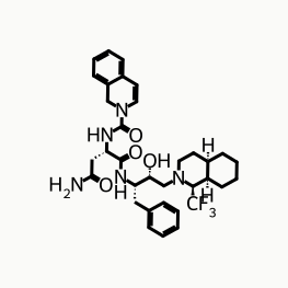 NC(=O)C[C@H](NC(=O)N1C=Cc2ccccc2C1)C(=O)N[C@@H](Cc1ccccc1)[C@H](O)CN1CC[C@H]2CCCC[C@H]2[C@H]1C(F)(F)F